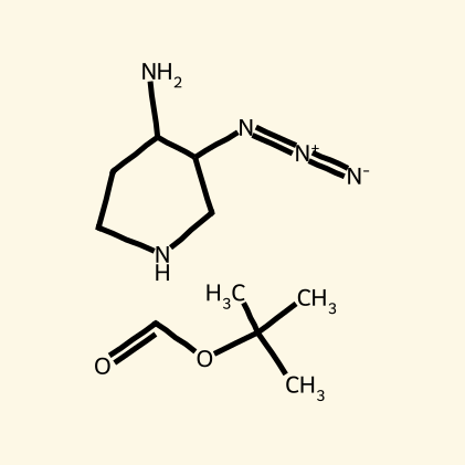 CC(C)(C)OC=O.[N-]=[N+]=NC1CNCCC1N